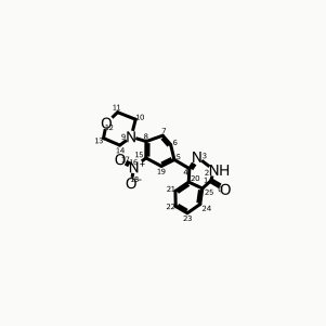 O=c1[nH]nc(-c2ccc(N3CCOCC3)c([N+](=O)[O-])c2)c2ccccc12